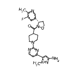 Cc1ncc([C@@H]2CCON2C(=O)C2CCN(c3nccc(-c4cc(N)nn4C)n3)CC2)cc1F